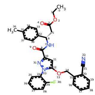 CCOC(=O)C[C@H](NC(=O)c1cc(OCc2ccccc2C#N)n(-c2ccccc2F)n1)c1ccc(C)cc1